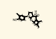 Cc1cc(N2CC[C@@]3(O)C(=O)c4c(sc(C)c4C)N=C23)ccc1C#N